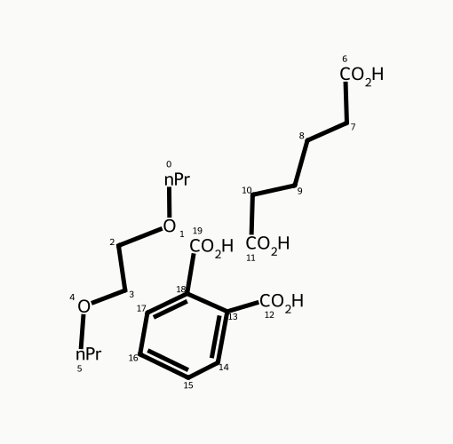 CCCOCCOCCC.O=C(O)CCCCC(=O)O.O=C(O)c1ccccc1C(=O)O